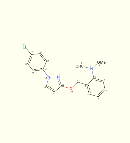 CON(C=O)c1ccccc1COc1ccn(-c2ccc(Cl)cc2)n1